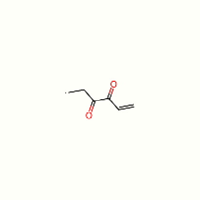 [CH2]CC(=O)C(=O)C=C